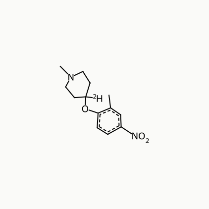 [2H]C1(Oc2ccc([N+](=O)[O-])cc2C)CCN(C)CC1